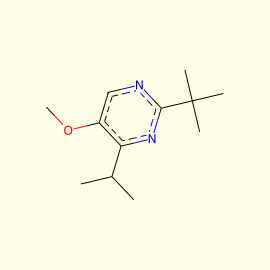 COc1cnc(C(C)(C)C)nc1C(C)C